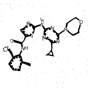 Cc1cccc(Cl)c1NC(=O)c1cnc(Nc2nc(C3CC3)nc(N3CCOCC3)n2)s1